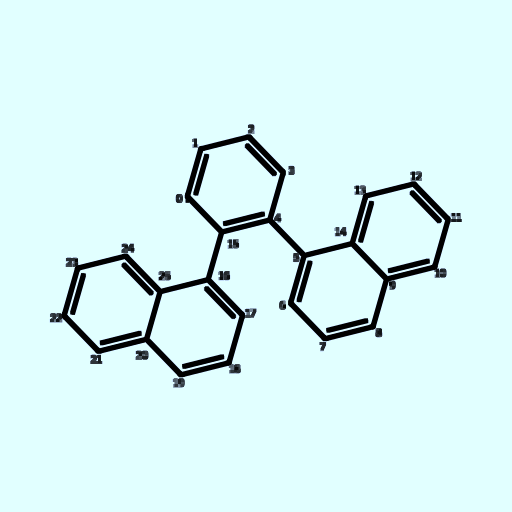 [c]1cccc(-c2cccc3ccccc23)c1-c1cccc2ccccc12